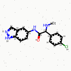 CCNC(C(=O)Nc1ccc2[nH]ncc2c1)c1ccc(Cl)cc1